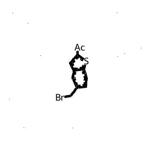 CC(=O)c1cc2cc(CBr)ccc2s1